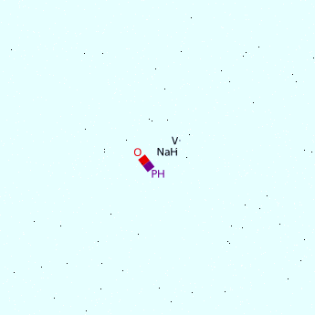 O=P.[NaH].[V]